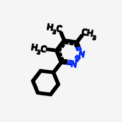 Cc1nnc(C2CCCCC2)c(C)c1C